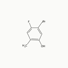 Cc1cc(F)c(C(C)C)cc1O